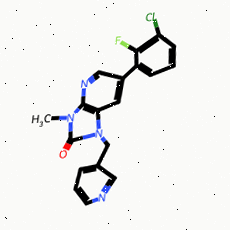 Cn1c(=O)n(Cc2cccnc2)c2cc(-c3cccc(Cl)c3F)cnc21